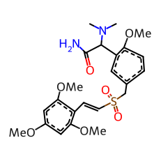 COc1cc(OC)c(C=CS(=O)(=O)Cc2ccc(OC)c(C(C(N)=O)N(C)C)c2)c(OC)c1